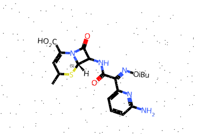 CC(C)CON=C(C(=O)NC1C(=O)N2C(C(=O)O)=CC(C)S[C@@H]12)c1cccc(N)n1